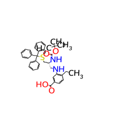 CCc1ccc(C(=O)O)cc1NC[C@H](CSC(c1ccccc1)(c1ccccc1)c1ccccc1)NC(=O)OC(C)(C)C